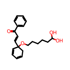 O=C(C=CC1(OCCCCCC(O)O)C=CC=CC1)c1ccccc1